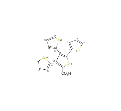 O=C(O)c1sc(-c2cccs2)c(-c2cccs2)c1-c1cccs1